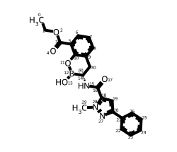 CCOC(=O)c1cccc2c1OB(O)[C@@H](NC(=O)c1cc(-c3ccccc3)nn1C)C2